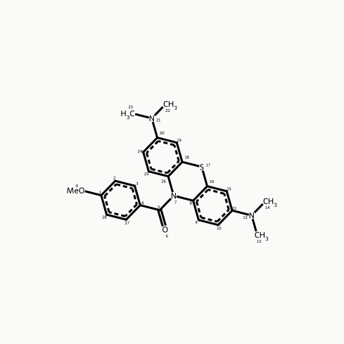 COc1ccc(C(=O)N2c3ccc(N(C)C)cc3Sc3cc(N(C)C)ccc32)cc1